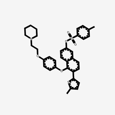 Cc1ccc(S(=O)(=O)Oc2ccc3c(Oc4ccc(OCCN5CCCCC5)cc4)c(-c4ccc(C)s4)ccc3c2)cc1